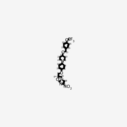 C[C@]1(COc2ccc(N3CCC(OCc4ccc(OC(F)(F)F)cc4)CC3)cc2)Cn2cc([N+](=O)[O-])nc2O1